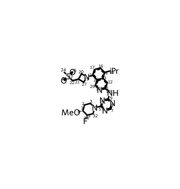 CO[C@@H]1CCN(c2ncnc(Nc3cc4c(C(C)C)ccc(N5CC(CS(C)(=O)=O)C5)c4cn3)n2)C[C@@H]1F